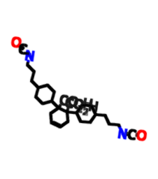 O=C=NCCCC1CCC(C2(C(=O)O)CC=CCC2(C(=O)O)C2CCC(CCCN=C=O)CC2)CC1